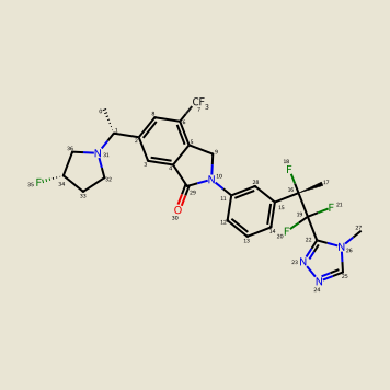 C[C@H](c1cc2c(c(C(F)(F)F)c1)CN(c1cccc([C@](C)(F)C(F)(F)c3nncn3C)c1)C2=O)N1CC[C@H](F)C1